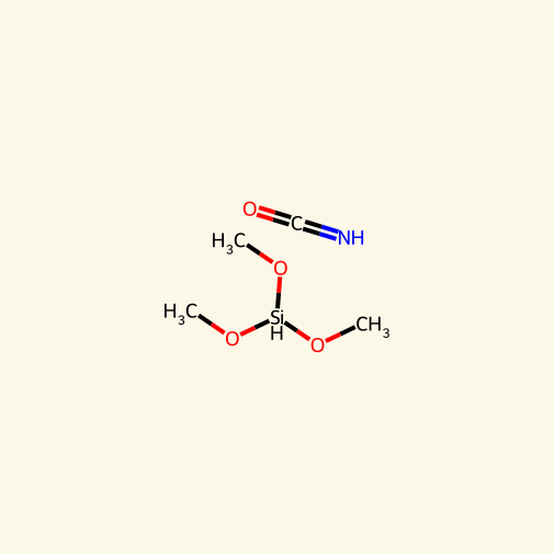 CO[SiH](OC)OC.N=C=O